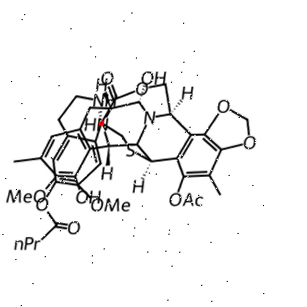 CCCC(=O)Oc1cc2c(cc1OC)[C@@]1(CS[C@@H]3c4c(OC(C)=O)c(C)c5c(c4[C@H](COC1=O)N1C3[C@H]3N[C@H](Cc4cc(C)c(OC)c(O)c43)[C@@H]1O)OCO5)NCC2